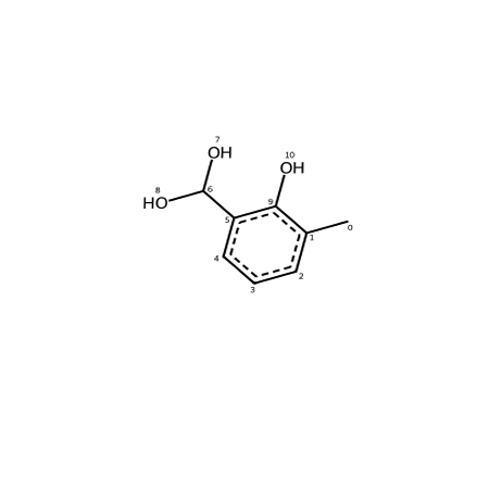 Cc1cccc(C(O)O)c1O